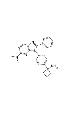 CN(C)c1ncc2nc(-c3ccccc3)n(-c3ccc(C4(N)CCC4)cc3)c2n1